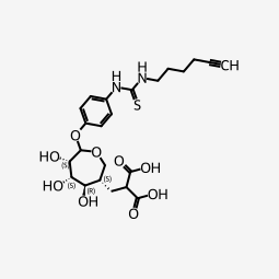 C#CCCCCNC(=S)Nc1ccc(OC2OC[C@H](CC(C(=O)O)C(=O)O)[C@@H](O)[C@H](O)[C@@H]2O)cc1